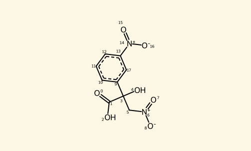 O=C(O)C(O)(C[N+](=O)[O-])c1cccc([N+](=O)[O-])c1